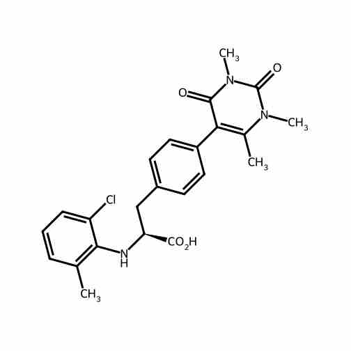 Cc1cccc(Cl)c1N[C@@H](Cc1ccc(-c2c(C)n(C)c(=O)n(C)c2=O)cc1)C(=O)O